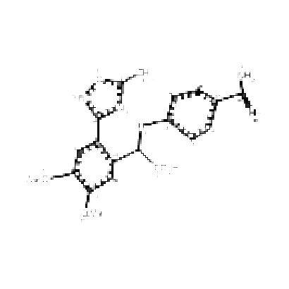 COc1cc(-c2noc(C)n2)c(C(Nc2ccc(C(=N)N)cc2)C(=O)O)cc1OC